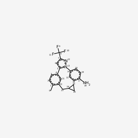 Cc1ccc(-c2cc(C(F)(F)F)nn2-c2ccc(N)cc2)cc1CC1CC1